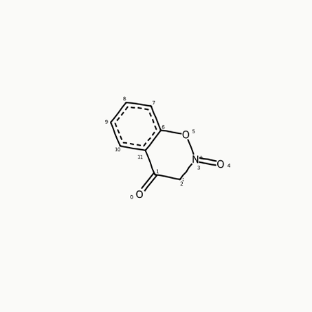 O=C1[C][N+](=O)Oc2ccccc21